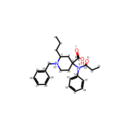 CCCC1CC(C(=O)O)(N(C(=O)CC)c2ccccc2)CCN1Cc1ccccc1